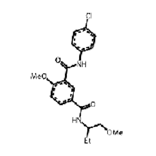 CCC(COC)NC(=O)c1ccc(OC)c(C(=O)Nc2ccc(Cl)cc2)c1